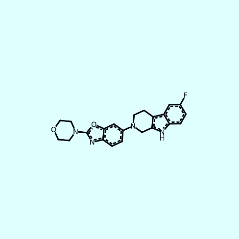 Fc1ccc2[nH]c3c(c2c1)CCN(c1ccc2nc(N4CCOCC4)oc2c1)C3